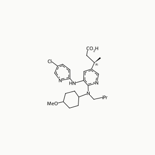 COC1CCC(N(CC(C)C)c2ncc([C@H](C)CC(=O)O)cc2Nc2ccc(Cl)cn2)CC1